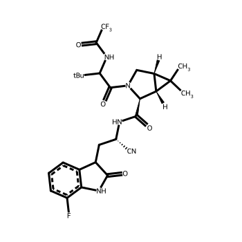 CC(C)(C)C(NC(=O)C(F)(F)F)C(=O)N1C[C@H]2[C@@H]([C@H]1C(=O)N[C@H](C#N)CC1C(=O)Nc3c(F)cccc31)C2(C)C